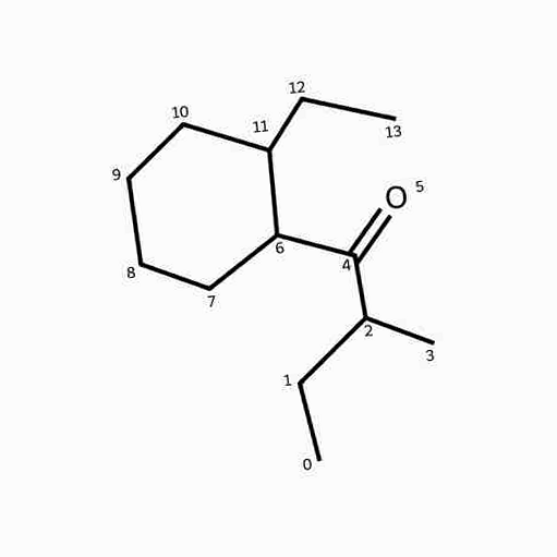 CCC(C)C(=O)C1CCCCC1CC